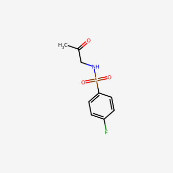 CC(=O)CNS(=O)(=O)c1ccc(F)cc1